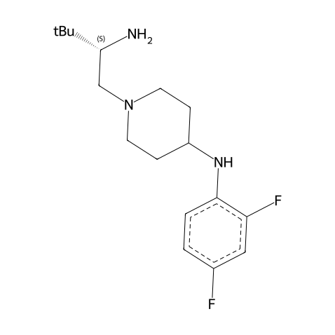 CC(C)(C)[C@H](N)CN1CCC(Nc2ccc(F)cc2F)CC1